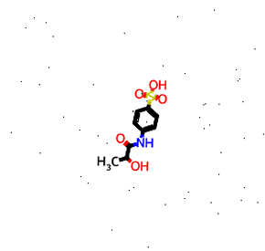 CC(O)C(=O)Nc1c[c]c(S(=O)(=O)O)cc1